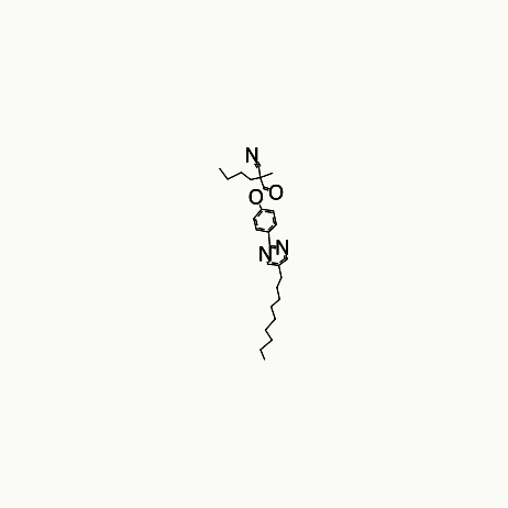 CCCCCCCCCc1cnc(-c2ccc(OC(=O)C(C)(C#N)CCCC)cc2)nc1